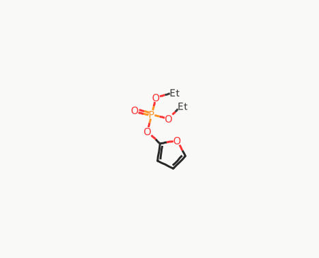 CCOP(=O)(OCC)Oc1ccco1